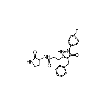 O=C(CCc1[nH]n(-c2ccc(F)cc2)c(=O)c1Cc1ccccc1)N[C@H]1CCNC1=O